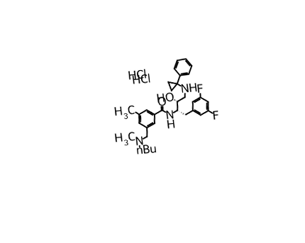 CCCCN(C)Cc1cc(C)cc(C(=O)N[C@@H](Cc2cc(F)cc(F)c2)[C@H](O)CNC2(c3ccccc3)CC2)c1.Cl.Cl